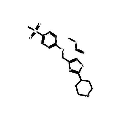 COC=O.CS(=O)(=O)c1ccc(OCc2csc(C3CCNCC3)n2)cc1